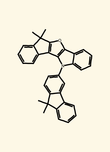 CC1(C)c2ccccc2-c2cc(-n3c4ccccc4c4oc5c(c43)-c3ccccc3C5(C)C)ccc21